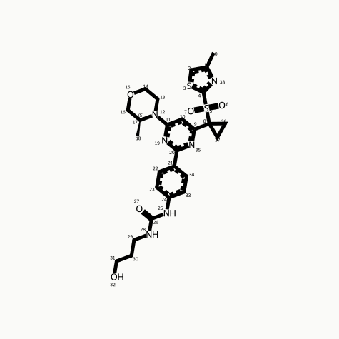 Cc1csc(S(=O)(=O)C2(c3cc(N4CCOC[C@@H]4C)nc(-c4ccc(NC(=O)NCCCO)cc4)n3)CC2)n1